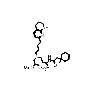 COC(C)CN(CCCCc1ccc2c(n1)NCCC2)CCC(NC(=O)CC1(C)CCCCC1)C(=O)O